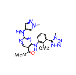 CNC(=O)c1cnc(Nc2cnn(C)c2)nc1Nc1cccc(-c2nnnn2C)c1OC